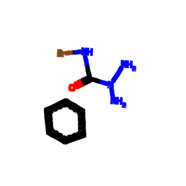 NN(N)C(=O)NBr.c1ccccc1